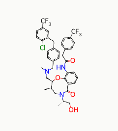 C[C@@H]1CN([C@@H](C)CO)C(=O)c2cccc(NC(=O)Cc3ccc(C(F)(F)F)cc3)c2O[C@@H]1CN(C)Cc1ccc(Cc2cc(C(F)(F)F)ccc2Cl)cc1